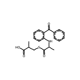 CC(CSC(=O)C(C)Nc1ccccc1C(=O)c1ccccc1)C(=O)O